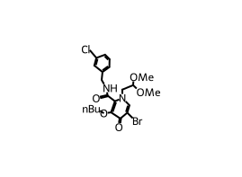 CCCCOc1c(C(=O)NCc2cccc(Cl)c2)n(CC(OC)OC)cc(Br)c1=O